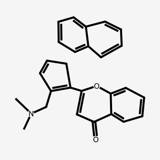 CN(C)CC1=C(c2cc(=O)c3ccccc3o2)CC=C1.c1ccc2ccccc2c1